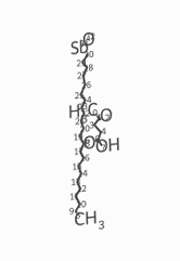 CC(=O)CCC(=O)O.CCCCCCCCCCCCCCCCCCCCCC[CH2][Sb]=[O]